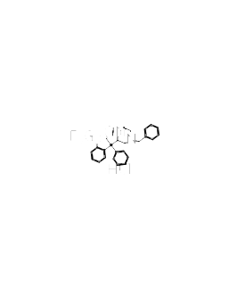 Cl.OCC(c1ccccc1)(c1ccccc1OC(F)(F)F)C1CN(Cc2ccccc2)CCO1